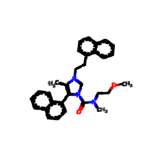 [CH2]C1=C(c2cccc3ccccc23)N(C(=O)N(C)CCOC)CN1CCc1cccc2ccccc12